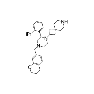 CC(C)c1ccccc1[C@@H]1CN(Cc2ccc3c(c2)OCCC3)CCN1C1CC2(CCNCC2)C1